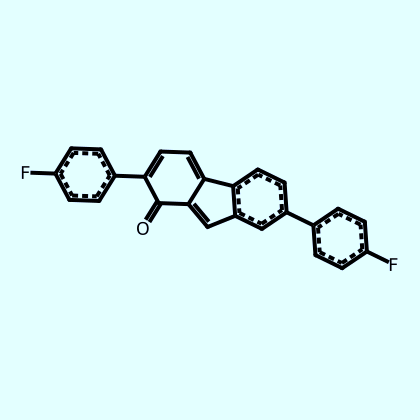 O=C1C2=Cc3cc(-c4ccc(F)cc4)ccc3C2=CC=C1c1ccc(F)cc1